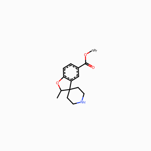 CCCOC(=O)c1ccc2c(c1)C1(CCNCC1)C(C)O2